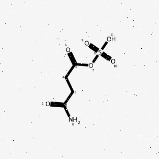 NC(=O)CCC(=O)OS(=O)(=O)O